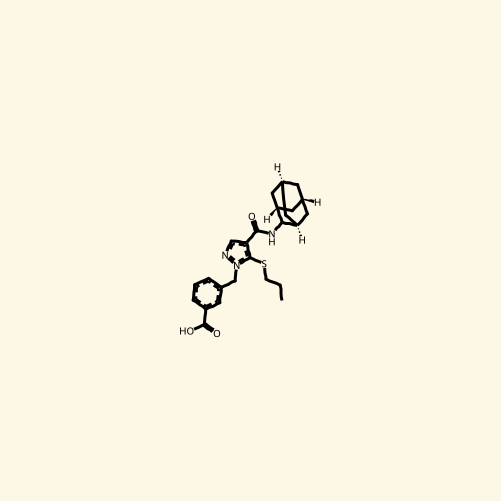 CCCSc1c(C(=O)NC2[C@H]3C[C@@H]4C[C@@H](C[C@H]2C4)C3)cnn1Cc1cccc(C(=O)O)c1